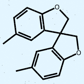 Cc1ccc2c(c1)C1(CO2)COc2ccc(C)cc21